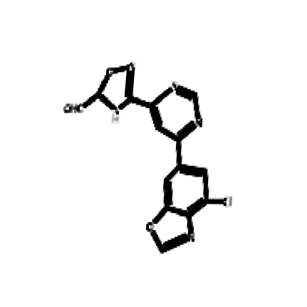 O=CC1NC(c2cc(-c3cc(Cl)c4ncoc4c3)ncn2)=NO1